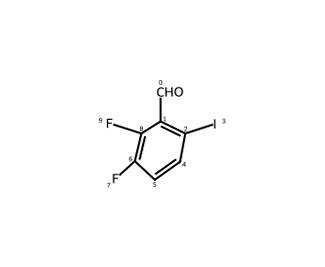 O=Cc1c(I)ccc(F)c1F